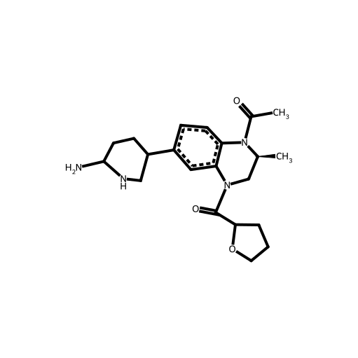 CC(=O)N1c2ccc(C3CCC(N)NC3)cc2N(C(=O)C2CCCO2)C[C@@H]1C